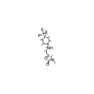 CN1C[C@H](CNc2ccc(C(F)(F)F)cc2)OC1=O